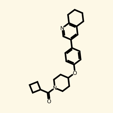 O=C(C1CCC1)N1CCC(Oc2ccc(-c3cnc4c(c3)CCCC4)cc2)CC1